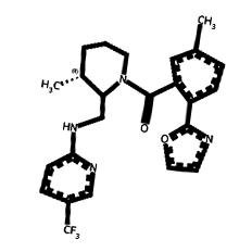 Cc1ccc(-c2ncco2)c(C(=O)N2CCC[C@@H](C)C2CNc2ccc(C(F)(F)F)cn2)c1